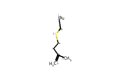 C=C(C)CCSCC(C)(C)C